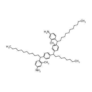 CCCCCCCCCCCC(c1ccc(C(CCCCCCCC)c2ccc(C(CCCCCCCCCCC)c3ccc(N)cc3C)cc2)cc1)c1ccc(N)cc1C